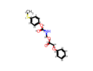 CSc1ccc(OC(=O)NCOC(=O)COc2ccccc2)cc1